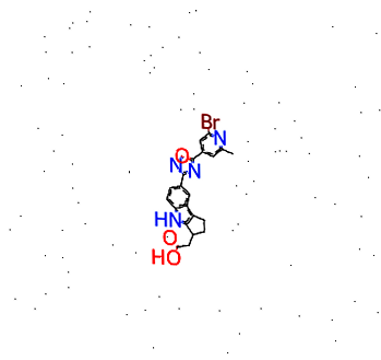 Cc1cc(-c2nc(-c3ccc4[nH]c5c(c4c3)CCC5CC(=O)O)no2)cc(Br)n1